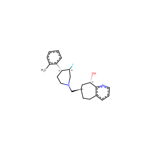 Cc1ccccc1[C@H]1CCN(C[C@@H]2CCc3cccnc3[C@@H](O)C2)C[C@@H]1F